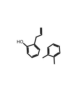 C=CCc1ccccc1O.Cc1ccccc1C